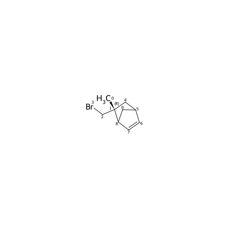 C[C@@]1(CBr)CC2C=CC1C2